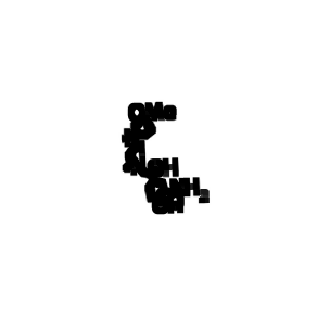 COc1cccc(N(C)CCC(C)NCC(O)c2ccc(O)c(C(N)=O)c2)c1